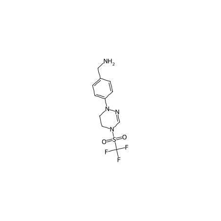 NCc1ccc(N2CCN(S(=O)(=O)C(F)(F)F)C=N2)cc1